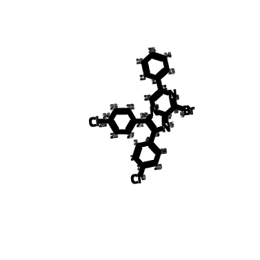 Clc1ccc(-c2nc3c(Br)nc(-c4ccccc4)cn3c2-c2ccc(Cl)cc2)cc1